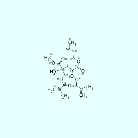 C=C(C)COOC(CC(C)(COC(=O)C(=C)C)C(=O)OC)C(=O)OCCCC